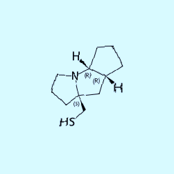 SC[C@@]12CCCN1[C@@H]1CCC[C@@H]1C2